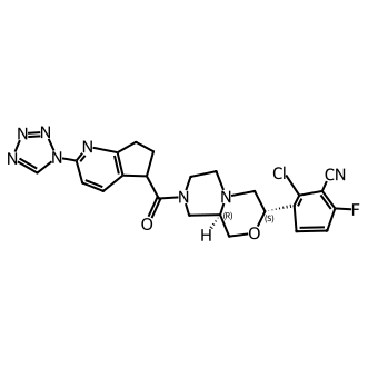 N#Cc1c(F)ccc([C@H]2CN3CCN(C(=O)C4CCc5nc(-n6cnnn6)ccc54)C[C@@H]3CO2)c1Cl